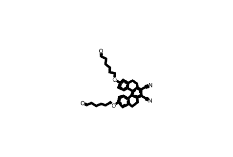 N#Cc1c(C#N)c2c(c3c1CCc1cc(OCCCCCC=O)ccc1-3)-c1ccc(OCCCCCC=O)cc1CC2